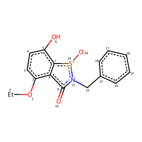 CCOc1ccc(O)c2c1c(=O)n(Cc1ccccc1)[s+]2[O-]